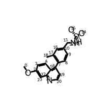 COc1ccc2c(-c3ccc(CN[SH](=O)=O)cc3C)ccnc2c1